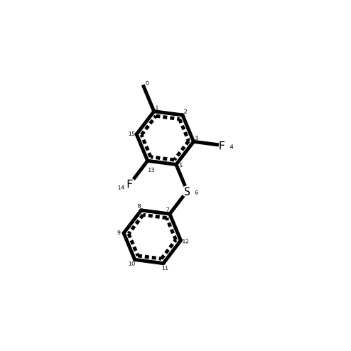 Cc1cc(F)c(Sc2ccccc2)c(F)c1